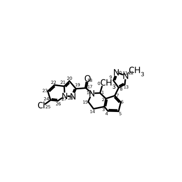 CC1c2c(cccc2-c2cnn(C)c2)CCN1C(=O)c1cc2ccc(Cl)cn2n1